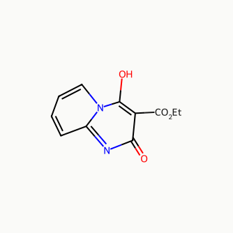 CCOC(=O)c1c(O)n2ccccc2nc1=O